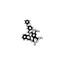 O=C(O)c1cc(C(=O)O)c(C(=O)N(Cc2cccc(Sc3ccccc3)c2)[C@H]2CCCc3ccccc32)cc1C(=O)O